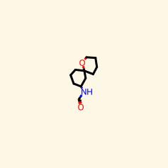 O=CNC1CCCC2(CCCCO2)C1